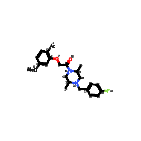 COc1ccc(C(C)=O)c(OCC(=O)N2CC(C)N(Cc3ccc(F)cc3)CC2C)c1